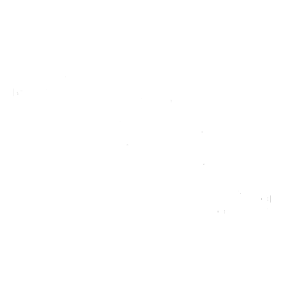 O=C(O)CCCc1ccc(-c2ccc(Br)cc2)cc1